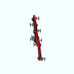 CCCCNC(=O)COCCOCCNC(=O)COCCOCCNC(=O)COCCOCCNC(=O)CC[C@H](NC(=O)[C@H]1CC[C@H](CNC(=O)CCCCCCCCCCCCCCCCCCC(=O)O)CC1)C(=O)O